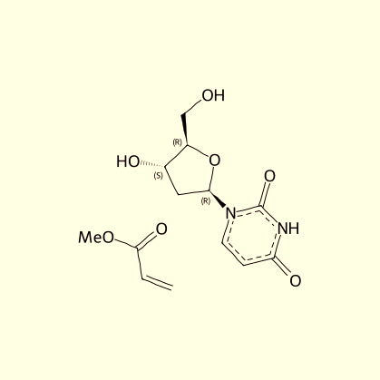 C=CC(=O)OC.O=c1ccn([C@H]2C[C@H](O)[C@@H](CO)O2)c(=O)[nH]1